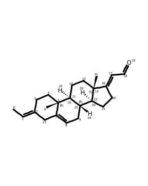 CC=C1CC[C@@]2(C)C(=CC[C@@H]3[C@@H]2CC[C@]2(C)C(=CC=O)CC[C@@H]32)C1